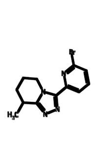 CC1CCCn2c(-c3cccc(Br)n3)nnc21